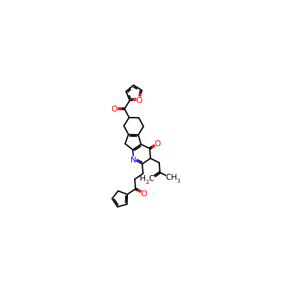 C=C(C)CC1C(=O)C2=C(CC3=C2CCC(C(=O)c2ccco2)C3)N=C1CCC(=O)C1=CC=CC1